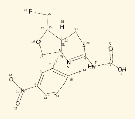 O=C(O)NC1=N[C@@]2(c3cc([N+](=O)[O-])ccc3F)CO[C@H](CF)[C@H]2CS1